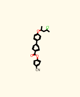 CC(Cl)CC(C)Oc1ccc(-c2ccc(C(=O)Oc3ccc(C#N)cc3)cc2)cc1